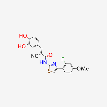 COc1ccc(-c2csc(NC(=O)/C(C#N)=C/c3ccc(O)c(O)c3)n2)c(F)c1